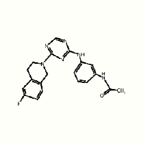 CC(=O)Nc1cccc(Nc2ncnc(N3CCc4cc(F)ccc4C3)n2)c1